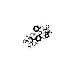 COC(Oc1ccccc1Oc1cc(-c2c(C(F)(F)F)n(C)c(=O)[nH]c2=O)c(F)cc1Cl)C(=O)OC1CCC1